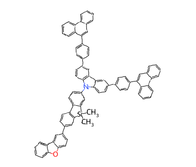 C[Si]1(C)c2cc(-c3ccc4oc5ccccc5c4c3)ccc2-c2ccc(-n3c4ccc(-c5ccc(-c6cc7ccccc7c7ccccc67)cc5)cc4c4cc(-c5ccc(-c6cc7ccccc7c7ccccc67)cc5)ccc43)cc21